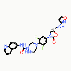 O=C(Nc1ccc2ncccc2c1)N1CCN(c2c(F)cc(N3C[C@H](CNc4ccon4)OC3=O)cc2F)CCN1